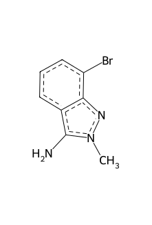 Cn1nc2c(Br)cccc2c1N